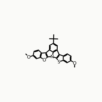 COc1ccc2c(c1)oc1c2c2cc(C(C)(C)C)cc3c4c5ccc(OC)cc5sc4n1c23